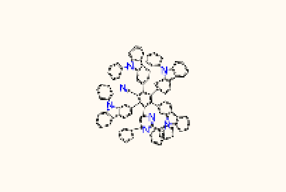 N#Cc1c(-c2ccc3c4ccccc4n(-c4ccccc4)c3c2)c(-c2ccc3c4ccccc4n(-c4ccccc4)c3c2)c(-c2ccc3c4ccccc4n(-c4ccccc4)c3c2)c(-c2cc(-c3ccccc3)nc(-c3ccccc3)n2)c1-c1ccc2c3ccccc3n(-c3ccccc3)c2c1